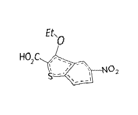 CCOc1c(C(=O)O)sc2ccc([N+](=O)[O-])cc12